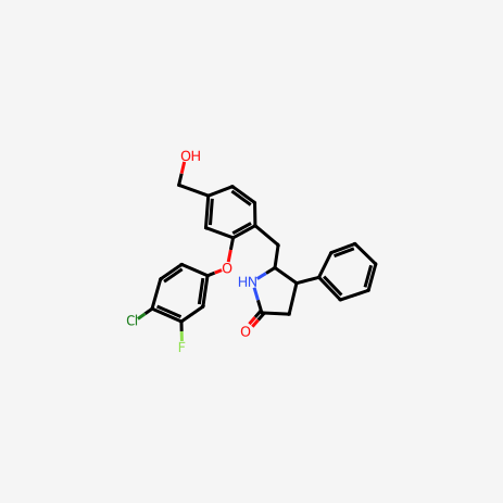 O=C1CC(c2ccccc2)C(Cc2ccc(CO)cc2Oc2ccc(Cl)c(F)c2)N1